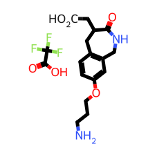 NCCCOc1ccc2c(c1)CNC(=O)C(CC(=O)O)C2.O=C(O)C(F)(F)F